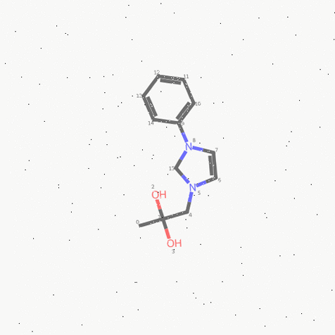 CC(O)(O)CN1C=CN(c2ccccc2)C1